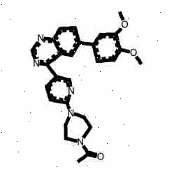 COc1ccc(-c2ccc3ncnc(-c4ccc(N5CCN(C(C)=O)CC5)nc4)c3c2)cc1OC